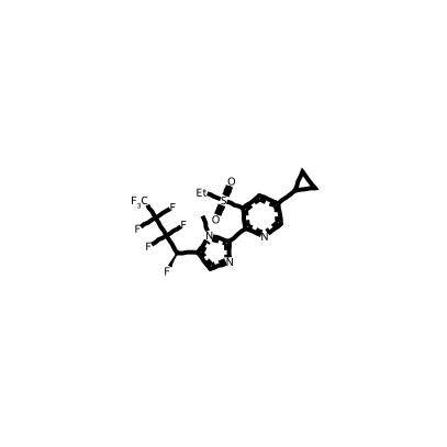 CCS(=O)(=O)c1cc(C2CC2)cnc1-c1ncc([C@@H](F)C(F)(F)C(F)(F)C(F)(F)F)n1C